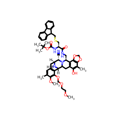 COCCOCOc1c(OC)c(C)cc2c1[C@H]1C3Cc4c(O)c(C)c5c(c4[C@H](CNC(=O)[C@H](CSCC4c6ccccc6-c6ccccc64)NC(=O)OC(C)(C)C)N3[C@@H](C#N)[C@H](C2)N1C)OCO5